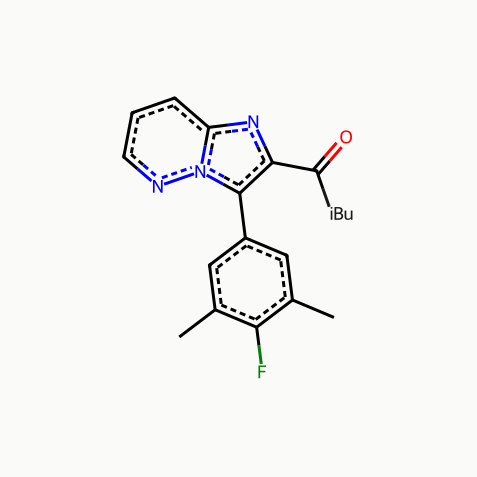 CCC(C)C(=O)c1nc2cccnn2c1-c1cc(C)c(F)c(C)c1